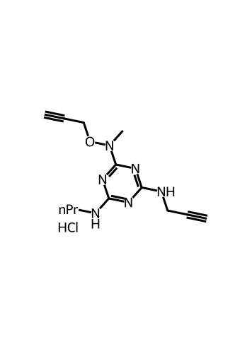 C#CCNc1nc(NCCC)nc(N(C)OCC#C)n1.Cl